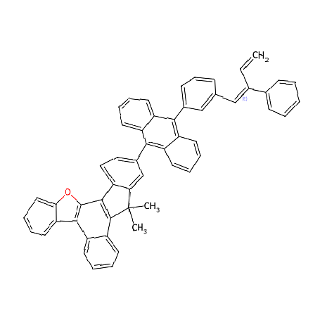 C=C/C(=C\c1cccc(-c2c3ccccc3c(-c3ccc4c(c3)C(C)(C)c3c-4c4oc5ccccc5c4c4ccccc34)c3ccccc23)c1)c1ccccc1